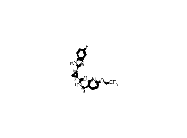 C[C@@H](NC(=O)[C@@H]1C[C@H]1c1nc2cc(F)ccc2[nH]1)c1ccc(OCC(F)(F)F)nc1